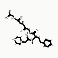 [CH2]C(C)C(=O)CNC(=O)CNC(=O)CNC(=O)C(CCc1ccccc1)NC(=O)CN1CCOCC1